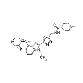 CN1CCC(C(=O)NCc2nnc(-c3cc4c(N[C@@H]5CCN(C)C[C@@H]5F)cccc4n3CC(F)(F)F)s2)CC1